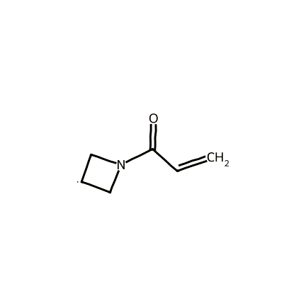 C=CC(=O)N1C[CH]C1